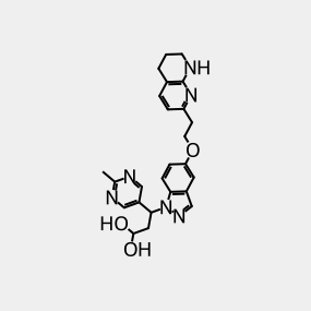 Cc1ncc(C(CC(O)O)n2ncc3cc(OCCc4ccc5c(n4)NCCC5)ccc32)cn1